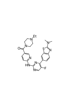 CCN1CCN(C(=O)c2ccc(Nc3ncc(F)c(-c4ccc5nc(N(C)C)sc5c4)n3)nc2)CC1